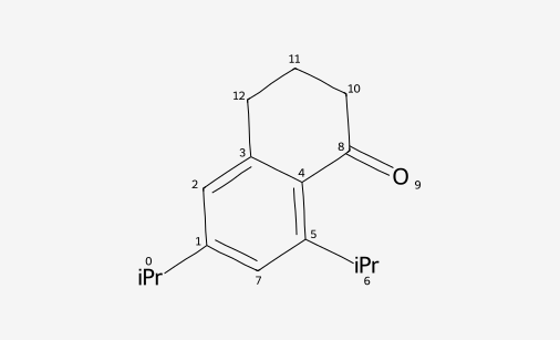 CC(C)c1cc2c(c(C(C)C)c1)C(=O)CCC2